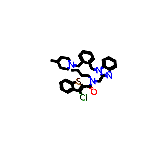 CCCCN(Cc1nc2ccccc2n1Cc1ccccc1CN1CCC(C)CC1)C(=O)c1sc2ccccc2c1Cl